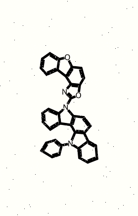 c1ccc(-n2c3ccccc3c3ccc4c(c5ccccc5n4-c4nc5c(ccc6oc7ccccc7c65)o4)c32)cc1